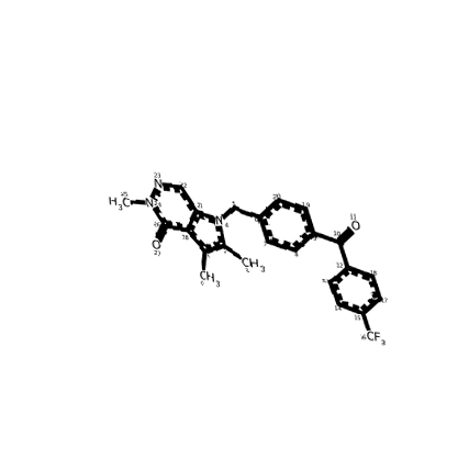 Cc1c(C)n(Cc2ccc(C(=O)c3ccc(C(F)(F)F)cc3)cc2)c2cnn(C)c(=O)c12